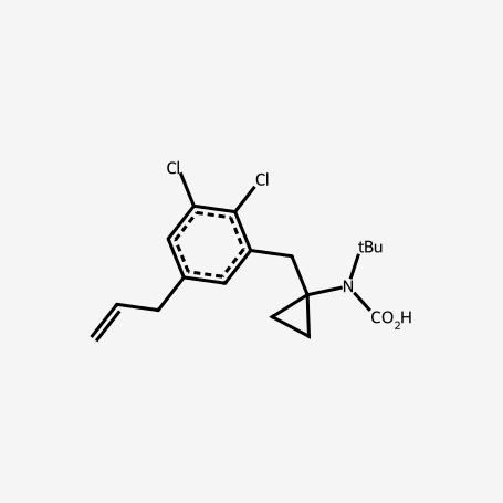 C=CCc1cc(Cl)c(Cl)c(CC2(N(C(=O)O)C(C)(C)C)CC2)c1